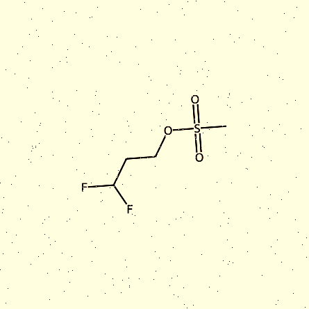 CS(=O)(=O)OCCC(F)F